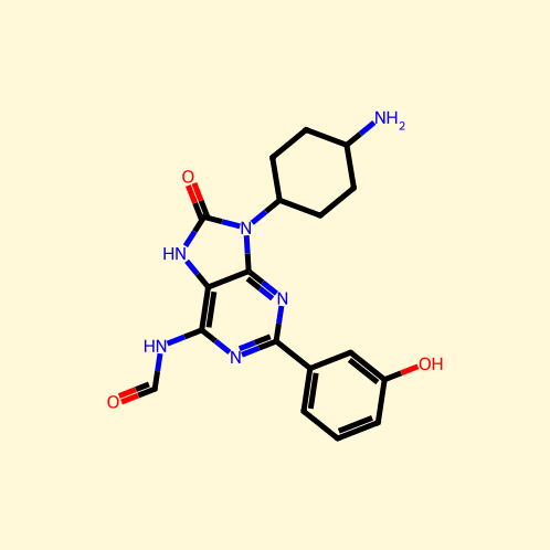 NC1CCC(n2c(=O)[nH]c3c(NC=O)nc(-c4cccc(O)c4)nc32)CC1